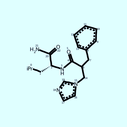 CC(C)C[C@@H](NC(=O)C(Cc1ccccc1)Cn1ccnc1)C(N)=O